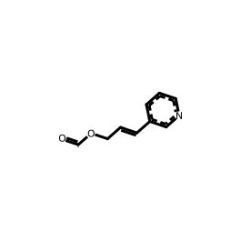 O=[C]OCC=Cc1cccnc1